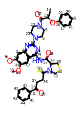 COc1cc2nc(N3CCN(C(=O)C(C)Oc4ccccc4)CC3)nc(NC(=O)C3CSCN3C(=S)CCC(=O)c3ccccc3)c2cc1OC